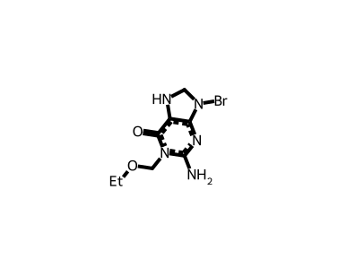 CCOCn1c(N)nc2c(c1=O)NCN2Br